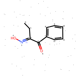 CC/C(=N\O)C(=O)c1ccccc1